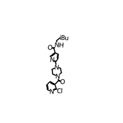 CCC(C)CNC(=O)c1ccc(N2CCN(C(=O)c3cccnc3Cl)CC2)nc1